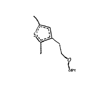 CCCOCCc1cc(C)sc1C